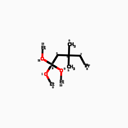 CCO[Si](CC(C)(C)CC(C)C)(OCC)OCC